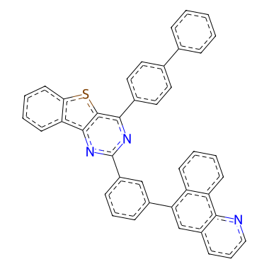 c1ccc(-c2ccc(-c3nc(-c4cccc(-c5cc6cccnc6c6ccccc56)c4)nc4c3sc3ccccc34)cc2)cc1